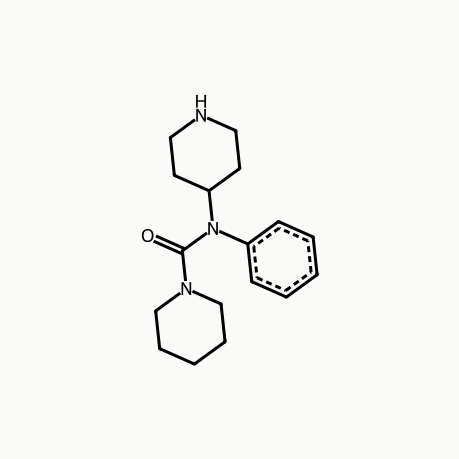 O=C(N1CCCCC1)N(c1ccccc1)C1CCNCC1